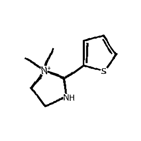 C[N+]1(C)CCNC1c1cccs1